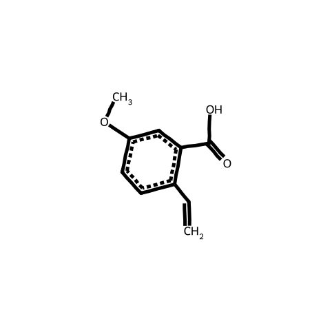 C=Cc1ccc(OC)cc1C(=O)O